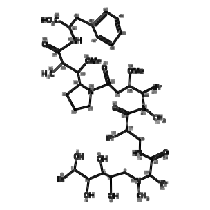 CCC(O)C(O)C(O)C(O)CN(C)C(C(=O)NCC(C(=O)N(C)C(C(C)C)C(CC(=O)N1CCCC1C(OC)C(C)C(=O)NC(Cc1ccccc1)C(=O)O)OC)C(C)C)C(C)C